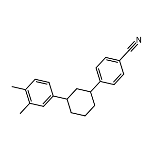 Cc1ccc(C2CCCC(c3ccc(C#N)cc3)C2)cc1C